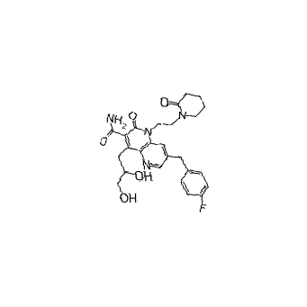 NC(=O)c1c(CC(O)CO)c2ncc(Cc3ccc(F)cc3)cc2n(CCN2CCCCC2=O)c1=O